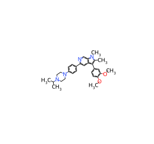 COc1ccc(-c2c(C)n(C)c3cnc(-c4ccc(N5CCN(C(C)C)CC5)cc4)cc23)cc1OC